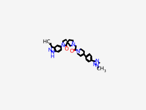 C#Cc1n[nH]c2ccc(N3CC[C@]4(CCN(CC(=O)N5CC=C(c6ccc(-c7ncn(C)n7)cc6)CC5)C4)C3=O)cc12